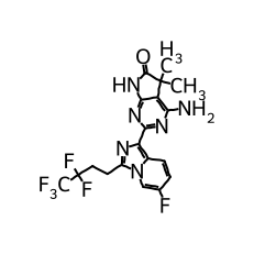 CC1(C)C(=O)Nc2nc(-c3nc(CCC(F)(F)C(F)(F)F)n4cc(F)ccc34)nc(N)c21